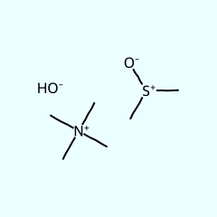 C[N+](C)(C)C.C[S+](C)[O-].[OH-]